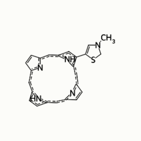 CN1C=C(c2cc3cc4nc(cc5ccc(cc6nc(cc2[nH]3)C=C6)[nH]5)C=C4)SC1